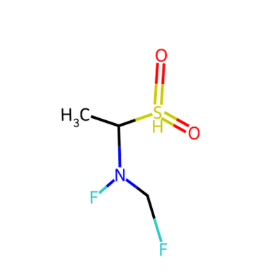 CC(N(F)CF)[SH](=O)=O